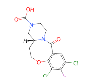 O=C(O)N1CCN2C(=O)c3cc(Cl)c(I)c(Cl)c3OCC[C@@H]2C1